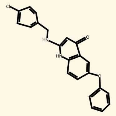 O=c1cc(NCc2ccc(Cl)cc2)[nH]c2ccc(Oc3ccccc3)cc12